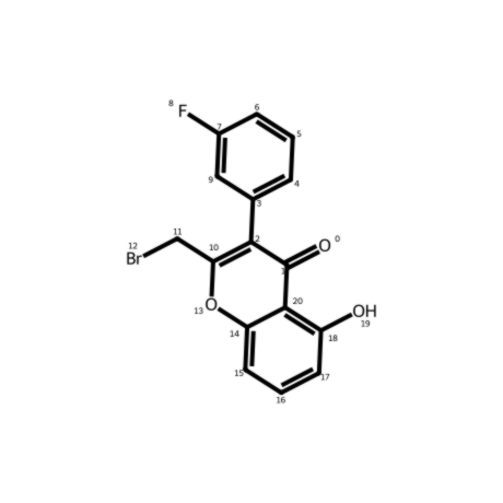 O=c1c(-c2cccc(F)c2)c(CBr)oc2cccc(O)c12